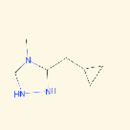 CN1CNNC1CC1CC1